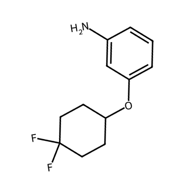 Nc1cccc(OC2CCC(F)(F)CC2)c1